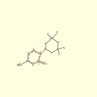 CC1(C)CC(n2ncc(O)cc2=O)CC(C)(C)C1